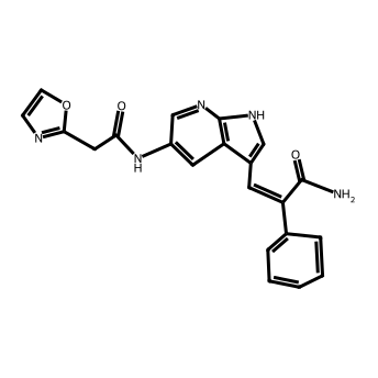 NC(=O)C(=Cc1c[nH]c2ncc(NC(=O)Cc3ncco3)cc12)c1ccccc1